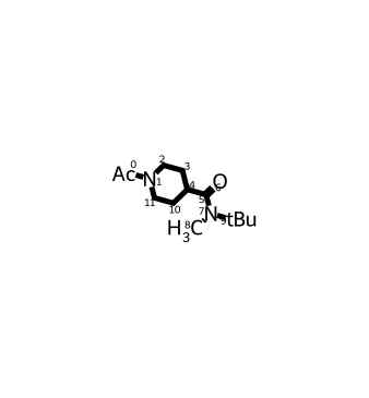 CC(=O)N1CCC(C(=O)N(C)C(C)(C)C)CC1